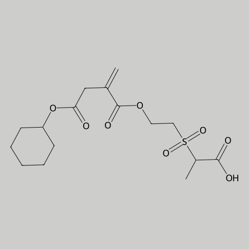 C=C(CC(=O)OC1CCCCC1)C(=O)OCCS(=O)(=O)C(C)C(=O)O